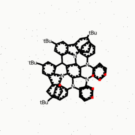 CC(C)(C)c1ccc2c(c1)c1cc(C(C)(C)C)cc3c1n2-c1c2c(c(N(c4ccccc4)c4ccccc4)c(N(c4ccccc4)c4ccccc4)c1N(c1ccccc1)c1ccccc1)-n1c4ccc(C(C)(C)C)cc4c4cc(C(C)(C)C)cc(c41)C23